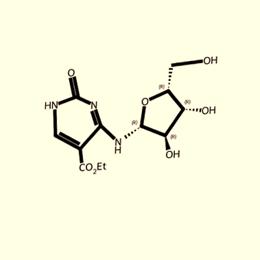 CCOC(=O)c1c[nH]c(=O)nc1N[C@@H]1O[C@H](CO)[C@H](O)[C@H]1O